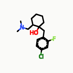 CN(C)CC1CCCCC1(O)Cc1ccc(Cl)cc1F